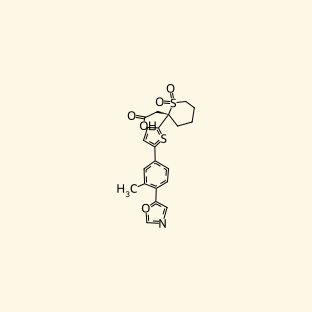 Cc1cc(-c2ccc([C@@]3(CC(=O)O)CCCCS3(=O)=O)s2)ccc1-c1cnco1